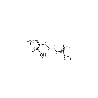 CC=C(CCCCN(C)C)C(=O)O